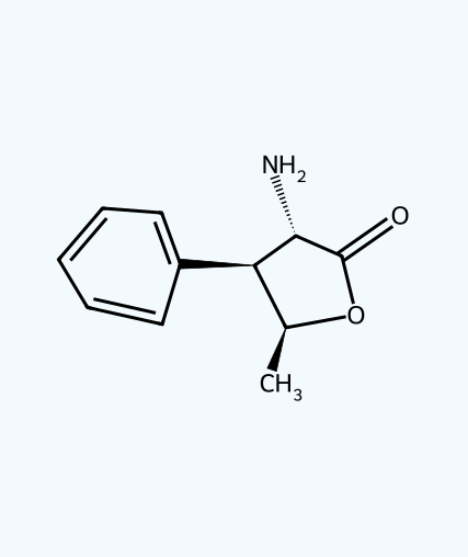 C[C@@H]1OC(=O)[C@@H](N)[C@@H]1c1ccccc1